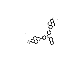 Cc1cc2ccc3cc(-c4ccc(N(c5ccc(-c6cc7ccc8cc([Si](C)(C)C)cc9ccc(c6)c7c89)cc5)c5ccc6ccccc6c5)cc4)cc4ccc(c1)c2c34